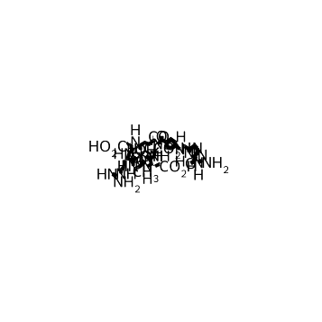 C[C@H](NC(=O)[C@H](CCC(=O)O)NC(=O)[C@H](C)NC(=O)[C@H](CCCNC(=N)N)NC(=O)[C@@H](CC(=O)O)NC(O)CC[C@@H](NC(=O)c1ccc(NCc2cnc3nc(N)[nH]c(=O)c3n2)cc1)C(=O)O)C(=O)O